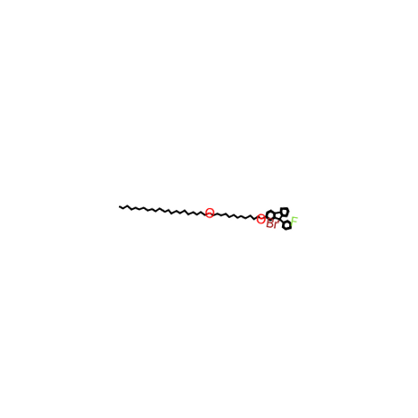 CCCCCCCCCCCCCCCCCCCCCCOCCCCCCCCCCCCOc1ccc2c(c1)C(Br)(c1cccc(F)c1)c1ccccc1-2